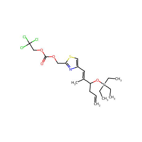 C=CCC(O[Si](CC)(CC)CC)/C(C)=C/c1csc(COC(=O)OCC(Cl)(Cl)Cl)n1